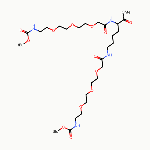 COC(=O)C(CCCCNC(=O)COCCOCCOCCNC(=O)OC(C)(C)C)NC(=O)COCCOCCOCCNC(=O)OC(C)(C)C